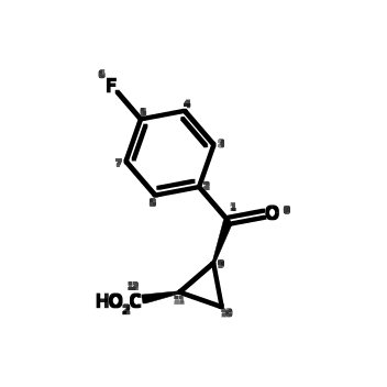 O=C(c1ccc(F)cc1)[C@H]1C[C@H]1C(=O)O